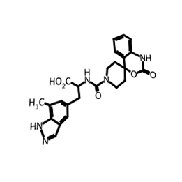 Cc1cc(CC(NC(=O)N2CCC3(CC2)OC(=O)Nc2ccccc23)C(=O)O)cc2cn[nH]c12